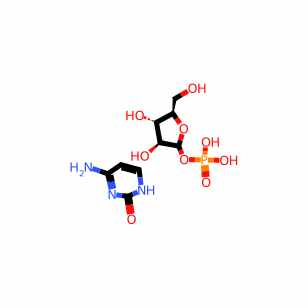 Nc1cc[nH]c(=O)n1.O=P(O)(O)OC1O[C@H](CO)[C@@H](O)[C@@H]1O